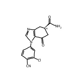 N#Cc1ccc(-n2cnc3c2C(=O)C[C@H](C(N)=O)C3)cc1Cl